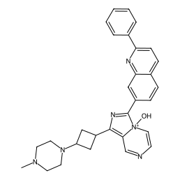 CN1CCN(C2CC(C3=C4C=NC=C[N+]4(O)C(c4ccc5ccc(-c6ccccc6)nc5c4)=N3)C2)CC1